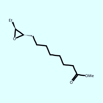 CC[C@@H]1O[C@H]1CCCCCCCC(=O)OC